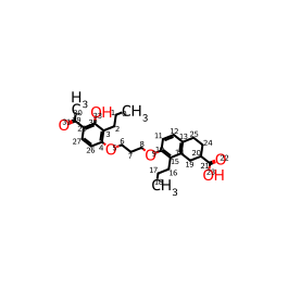 CCCc1c(OCCCOc2ccc3c(c2CCC)CC(C(=O)O)CC3)ccc(C(C)=O)c1O